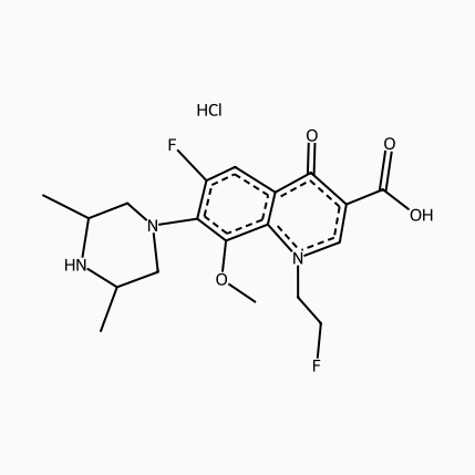 COc1c(N2CC(C)NC(C)C2)c(F)cc2c(=O)c(C(=O)O)cn(CCF)c12.Cl